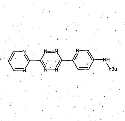 CCCCNc1ccc(-c2nnc(-c3ncccn3)nn2)nc1